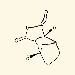 O=C1OC(=O)[C@@H]2C3CC[C@@H](C3)C12